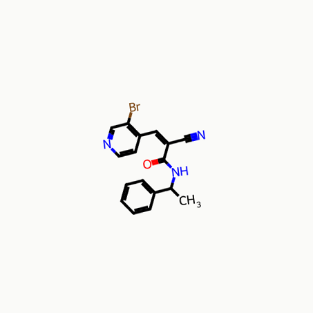 CC(NC(=O)C(C#N)=Cc1ccncc1Br)c1ccccc1